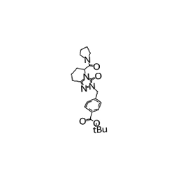 CC(C)(C)OC(=O)c1ccc(Cn2nc3n(c2=O)C(C(=O)N2CCCC2)CCC3)cc1